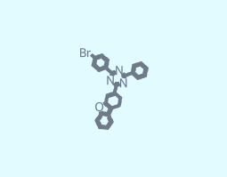 Brc1ccc(-c2nc(C3=Cc4oc5ccccc5c4CC3)nc(-c3ccccc3)n2)cc1